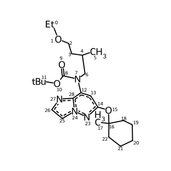 CCOCCC(C)CN(C(=O)OC(C)(C)C)c1cc(OC2(C)CCCCC2)nn2ccnc12